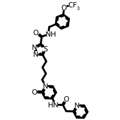 O=C(Cc1ccccn1)Nc1ccn(CCCCc2nnc(C(=O)NCc3cccc(OC(F)(F)F)c3)s2)c(=O)c1